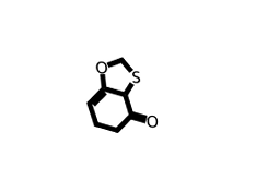 O=C1CCC=C2OCSC12